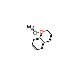 C.C1=Cc2ccccc2OC1.[Fe].[Mo]